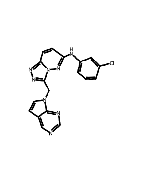 Clc1cccc(Nc2ccc3nnc(Cn4ccc5cncnc54)n3n2)c1